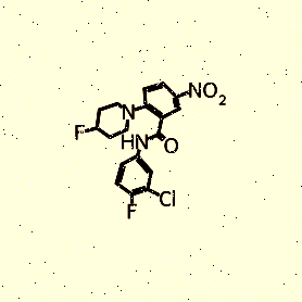 O=C(Nc1ccc(F)c(Cl)c1)c1cc([N+](=O)[O-])ccc1N1CCC(F)CC1